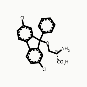 N[C@@H](COC1(c2ccccc2)c2cc(Cl)ccc2-c2ccc(Cl)cc21)C(=O)O